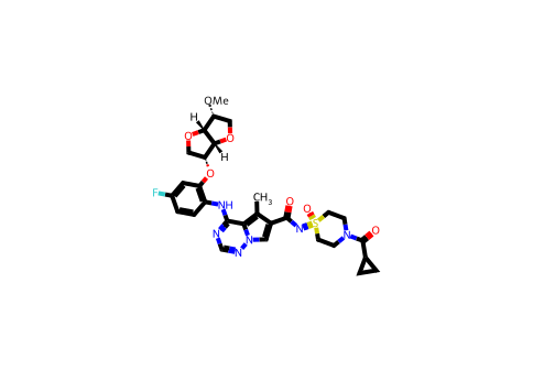 CO[C@@H]1CO[C@H]2[C@@H]1OC[C@H]2Oc1cc(F)ccc1Nc1ncnn2cc(C(=O)N=S3(=O)CCN(C(=O)C4CC4)CC3)c(C)c12